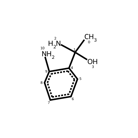 CC(N)(O)c1ccccc1N